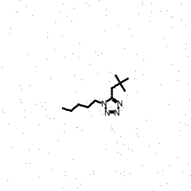 CCCCCn1nnnc1CC(C)(C)C